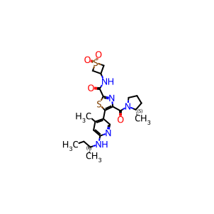 CC[C@@H](C)Nc1cc(C)c(-c2sc(C(=O)NC3CS(=O)(=O)C3)nc2C(=O)N2CCC[C@@H]2C)cn1